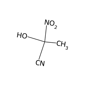 CC(O)(C#N)[N+](=O)[O-]